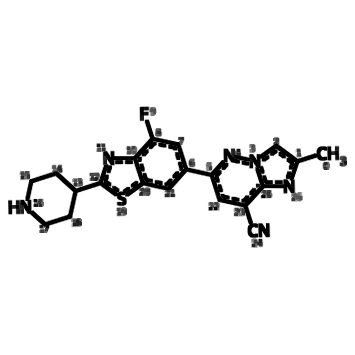 Cc1cn2nc(-c3cc(F)c4nc(C5CCNCC5)sc4c3)cc(C#N)c2n1